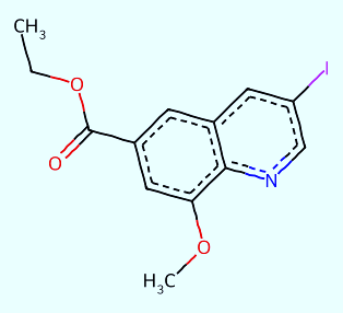 CCOC(=O)c1cc(OC)c2ncc(I)cc2c1